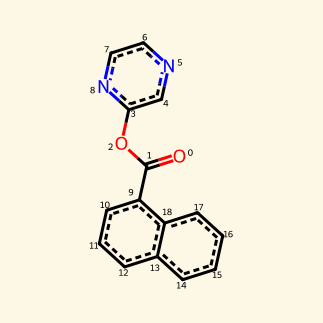 O=C(Oc1cnccn1)c1cccc2ccccc12